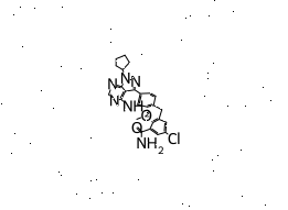 COc1c(Cc2ccc(-c3nn(C4CCCC4)c4ncnc(N)c34)cc2)cc(Cl)cc1C(N)=O